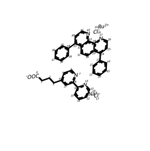 O=C([O-])CCCc1ccnc(-c2ccccn2)c1.[Cl-].[Cl-].[Na+].[Ru+2].c1ccc(-c2ccnc3c2ccc2c(-c4ccccc4)ccnc23)cc1